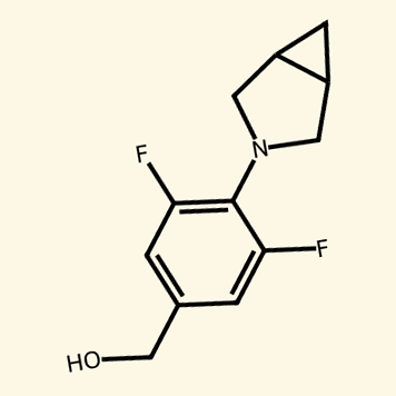 OCc1cc(F)c(N2CC3CC3C2)c(F)c1